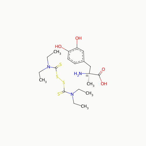 CCN(CC)C(=S)SSC(=S)N(CC)CC.C[C@](N)(Cc1ccc(O)c(O)c1)C(=O)O